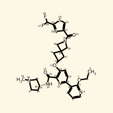 CCOc1ncccc1-c1ccc(OC2CC3(C2)CN(C(=O)c2csc(C(F)F)n2)C3)c(C(=O)N[C@@H]2CCN(C)C2)n1